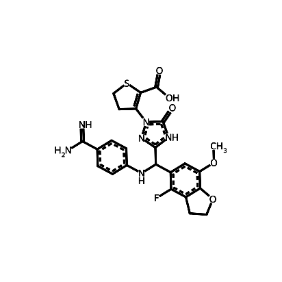 COc1cc(C(Nc2ccc(C(=N)N)cc2)c2nn(C3=C(C(=O)O)SCC3)c(=O)[nH]2)c(F)c2c1OCC2